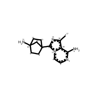 Nc1nccn2c(C34CCC(N)(CC3)C4)nc(I)c12